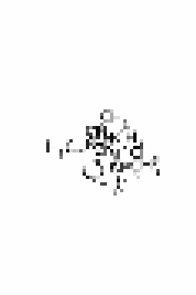 CCC(C)C1=[C]([Zr]([N](C)CC)([N](C)CC)[N](C)CC)CC=C1